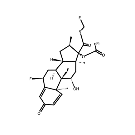 CCCC(=O)O[C@]1(C(=O)SCF)[C@H](C)C[C@H]2[C@@H]3C[C@H](F)C4=CC(=O)C=C[C@]4(C)[C@@]3(F)[C@@H](O)C[C@@]21C